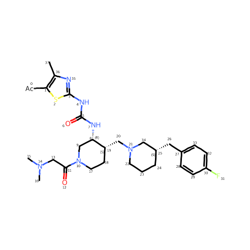 CC(=O)c1sc(NC(=O)N[C@H]2CN(C(=O)CN(C)C)CC[C@H]2CN2CCC[C@@H](Cc3ccc(F)cc3)C2)nc1C